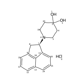 Cl.OC1(O)CCN([C@@H]2Cc3cccc4cccc2c34)CC1